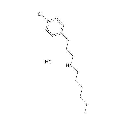 CCCCCCNCCCc1ccc(Cl)cc1.Cl